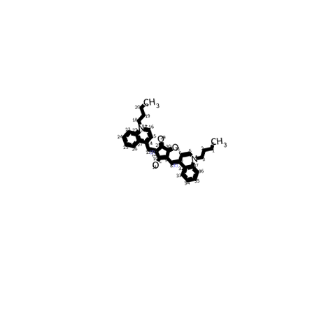 CCCCN1C=C/C(=C\C2=C([O-])C(=C/c3cc[n+](CCCC)c4ccccc34)/C(=O)C2=O)c2ccccc21